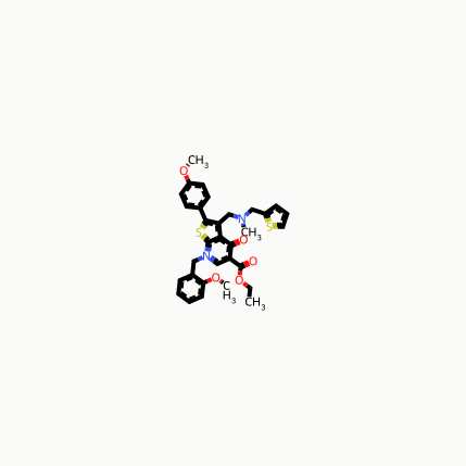 CCOC(=O)c1cn(Cc2ccccc2OC)c2sc(-c3ccc(OC)cc3)c(CN(C)Cc3cccs3)c2c1=O